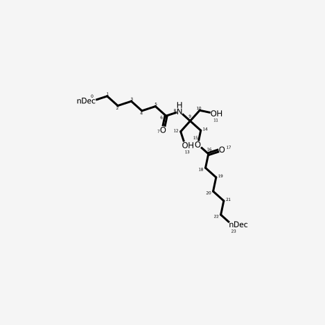 CCCCCCCCCCCCCCCC(=O)NC(CO)(CO)COC(=O)CCCCCCCCCCCCCCC